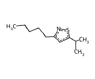 CCCCCc1cc(C(C)C)sn1